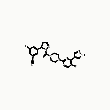 N#Cc1cc(F)cc(C2CC=NN2C(=O)N2CCN(c3ncc(F)c(-c4cn[nH]c4)n3)CC2)c1